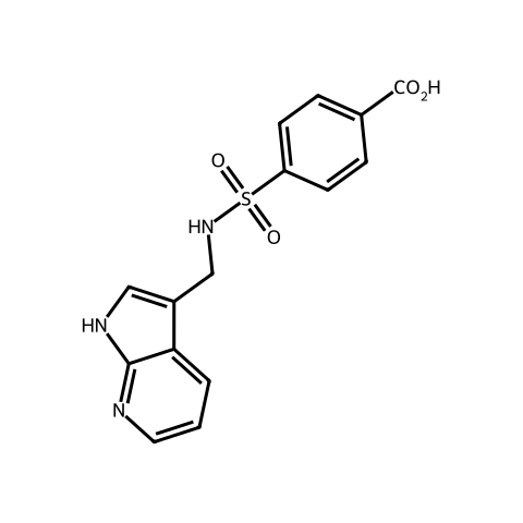 O=C(O)c1ccc(S(=O)(=O)NCc2c[nH]c3ncccc23)cc1